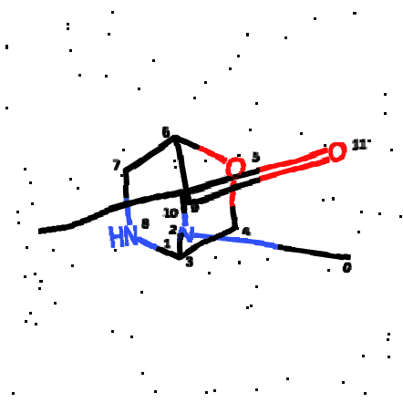 CN1CC2COC(CN2)CC1=O